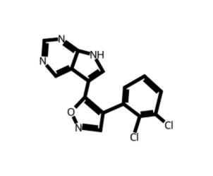 Clc1cccc(-c2cnoc2-c2c[nH]c3ncncc23)c1Cl